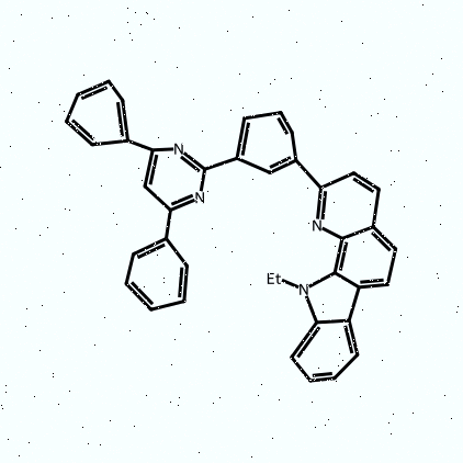 CCn1c2ccccc2c2ccc3ccc(-c4cccc(-c5nc(-c6ccccc6)cc(-c6ccccc6)n5)c4)nc3c21